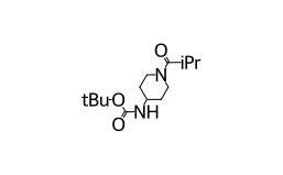 CC(C)C(=O)N1CCC(NC(=O)OC(C)(C)C)CC1